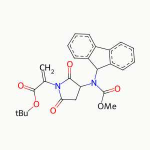 C=C(C(=O)OC(C)(C)C)N1C(=O)CC(N(C(=O)OC)C2c3ccccc3-c3ccccc32)C1=O